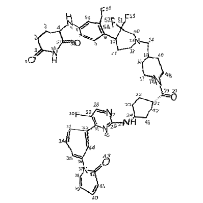 O=C1CCC(Nc2ccc(C3CCN(CC4CCN(C(=O)[C@H]5CC[C@H](Nc6ncc(F)c(-c7cccc(-n8ccccc8=O)c7)n6)CC5)CC4)CC3(F)F)c(F)c2)C(=O)N1